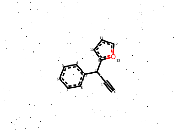 C#CC(c1ccccc1)c1ccco1